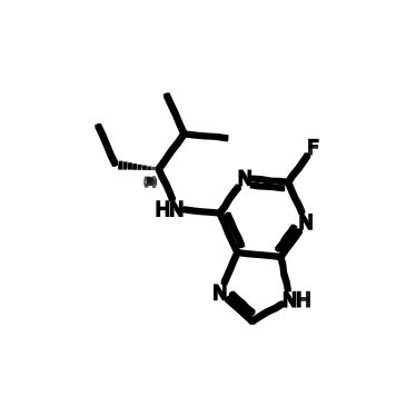 CC[C@@H](Nc1nc(F)nc2[nH]cnc12)C(C)C